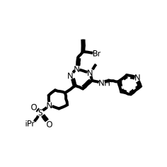 C=C(Br)/C=N\N(C)/C(=C\C(=N/C)C1CCN(S(=O)(=O)C(C)C)CC1)NCc1cccnc1